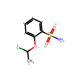 CC(Cl)Oc1ccccc1S(N)(=O)=O